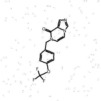 O=c1c2cncn2ccn1Cc1ccc(OC(F)(F)F)cc1